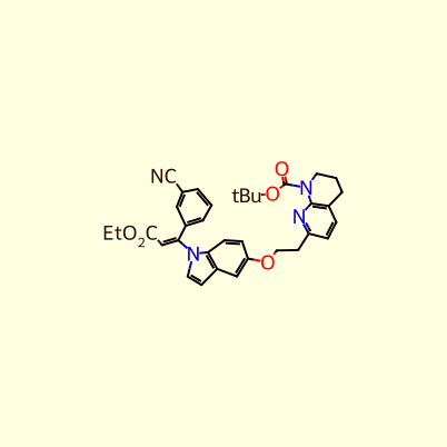 CCOC(=O)C=C(c1cccc(C#N)c1)n1ccc2cc(OCCc3ccc4c(n3)N(C(=O)OC(C)(C)C)CCC4)ccc21